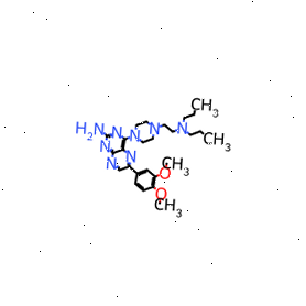 CCCN(CCC)CCN1CCN(c2nc(N)nc3ncc(-c4ccc(OC)c(OC)c4)nc23)CC1